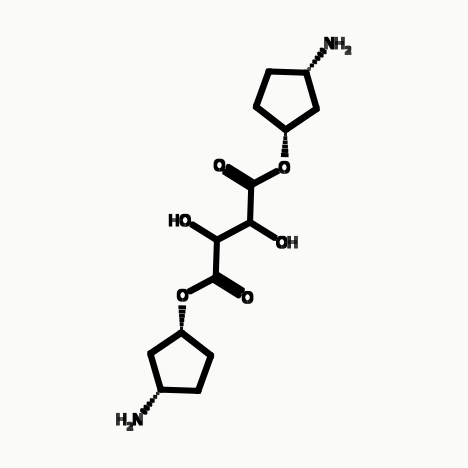 N[C@H]1CC[C@@H](OC(=O)C(O)C(O)C(=O)O[C@@H]2CC[C@H](N)C2)C1